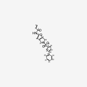 C=CC(=O)Nc1cc2c(o1)CN(S(=O)(=O)c1ccc(-c3ccccc3)s1)C2